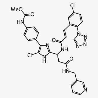 COC(=O)Nc1ccc(-c2nc([C@H](CC(=O)NCc3cccnc3)NC(=O)/C=C/c3cc(Cl)ccc3-n3cnnn3)[nH]c2Cl)cc1